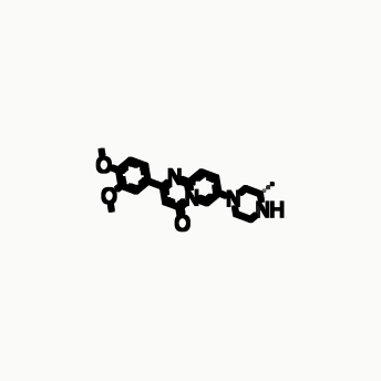 COc1ccc(-c2cc(=O)n3cc(N4CCN[C@@H](C)C4)ccc3n2)cc1OC